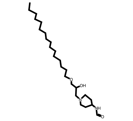 CCCCCCCCCCCCCCCCOCC(O)CN1CCC(NC=O)CC1